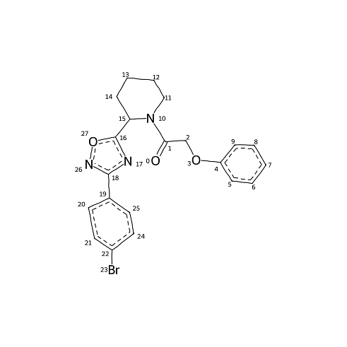 O=C(COc1ccccc1)N1CCCCC1c1nc(-c2ccc(Br)cc2)no1